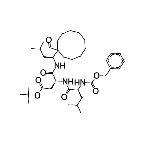 CC(C)C[C@H](NC(=O)OCc1ccccc1)C(=O)N[C@@H](CC(=O)OC(C)(C)C)C(=O)N[C@@H](CC(C)C)C1(C=O)CCCCCCCCC1